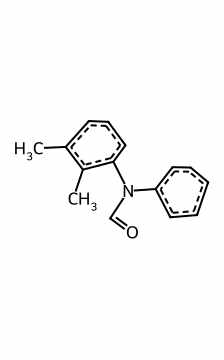 Cc1cccc(N(C=O)c2ccccc2)c1C